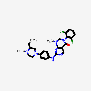 COCC1CN(c2ccc(Nc3ncc4c(n3)N(C)CN(c3c(Cl)cccc3Cl)C4=O)cc2)CCN1C(=O)O